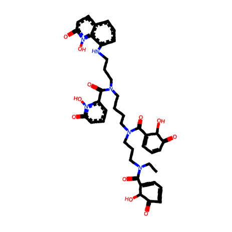 CCN(CCCN(CCCCN(CCCNc1cccc2ccc(=O)n(O)c12)C(=O)c1cccc(=O)n1O)C(=O)C1=CC=CC(=O)C1O)C(=O)C1=CC=CC(=O)C1O